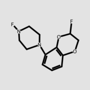 FC1COc2cccc(N3CCN(F)CC3)c2O1